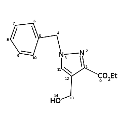 CCOC(=O)c1nn(Cc2ccccc2)cc1CO